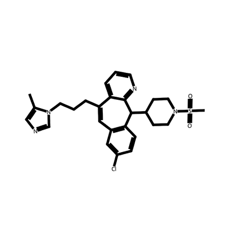 Cc1cncn1CCCC1=Cc2cc(Cl)ccc2C(C2CCN(S(C)(=O)=O)CC2)c2ncccc21